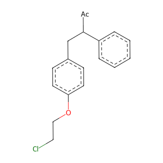 CC(=O)C(Cc1ccc(OCCCl)cc1)c1ccccc1